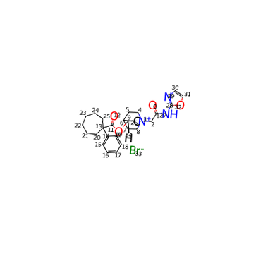 O=C(C[N+]12CCC(CC1)[C@@H](OC(=O)C1(c3ccccc3)CCCCCC1)C2)Nc1ncco1.[Br-]